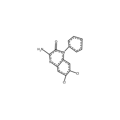 Nc1nc2cc(Cl)c(Cl)cc2n(-c2ccccc2)c1=O